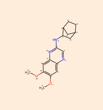 COc1cc2ncc(NC3CC4CCC3C4)nc2cc1OC